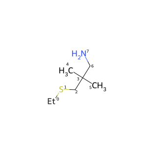 CCSCC(C)(C)CN